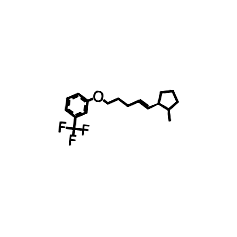 CC1CCC[C@@H]1/C=C/CCCOc1cccc(C(F)(F)F)c1